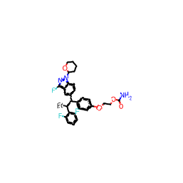 CCC(=C(c1ccc(OCCOC(N)=O)cc1)c1ccc2c(c1)c(F)nn2C1CCCCO1)c1c(F)cccc1F